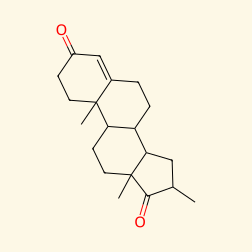 CC1CC2C3CCC4=CC(=O)CCC4(C)C3CCC2(C)C1=O